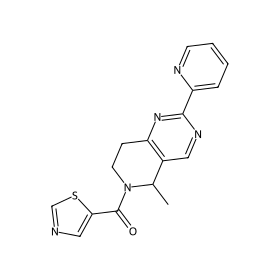 CC1c2cnc(-c3ccccn3)nc2CCN1C(=O)c1cncs1